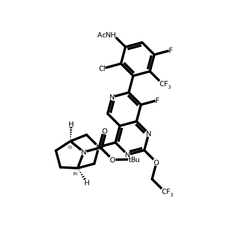 CC(=O)Nc1cc(F)c(C(F)(F)F)c(-c2ncc3c(N4C[C@H]5CC[C@@H](C4)N5C(=O)OC(C)(C)C)nc(OCC(F)(F)F)nc3c2F)c1Cl